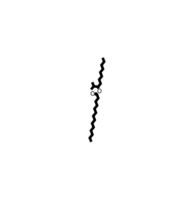 CCCCCCCCCCCCCC(=O)OC(CCCCCCCC)C(C)C